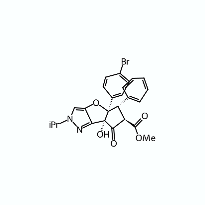 COC(=O)[C@H]1C(=O)[C@@]2(O)c3nn(C(C)C)cc3O[C@@]2(c2ccc(Br)cc2)[C@@H]1c1ccccc1